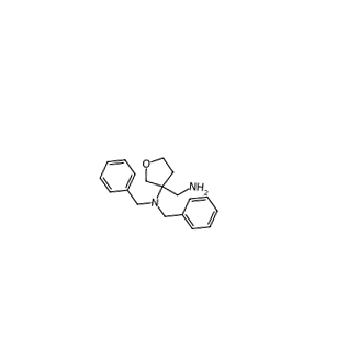 NCC1(N(Cc2ccccc2)Cc2ccccc2)CCOC1